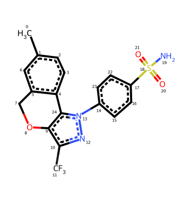 Cc1ccc2c(c1)COc1c(C(F)(F)F)nn(-c3ccc(S(N)(=O)=O)cc3)c1-2